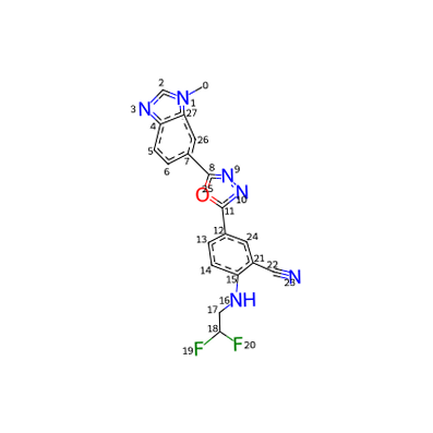 Cn1cnc2ccc(-c3nnc(-c4ccc(NCC(F)F)c(C#N)c4)o3)cc21